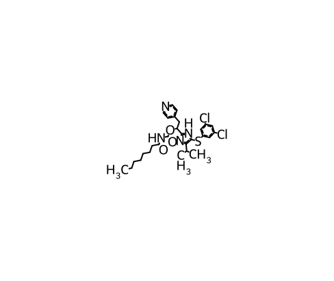 CCCCCCCC(=O)NC(=O)OC(Cc1ccncc1)c1nc(C(C)C)c(Sc2cc(Cl)cc(Cl)c2)[nH]1